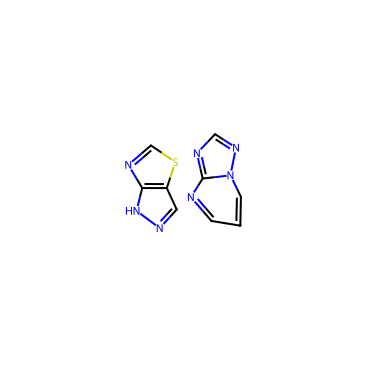 c1cnc2ncnn2c1.c1nc2[nH]ncc2s1